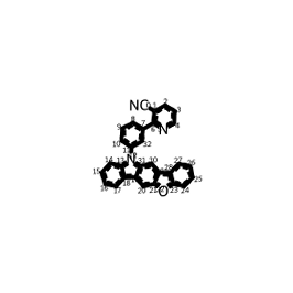 N#Cc1cccnc1-c1cccc(-n2c3ccccc3c3cc4oc5ccccc5c4cc32)c1